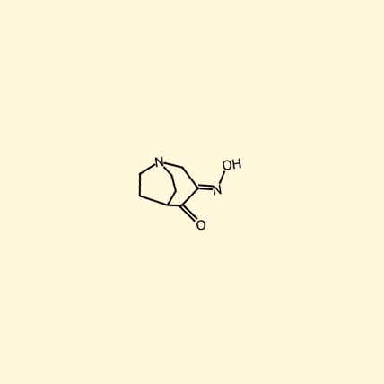 O=C1/C(=N/O)CN2CCC1CC2